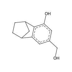 OCc1cc(O)c2c(c1)C1CCC2C1